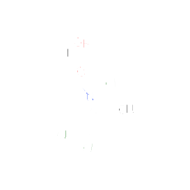 Cc1c(Cl)n([C@H]2C=C[C@@H](CO)O2)c2cc(Cl)c(Cl)cc12